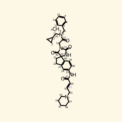 C[C@@H](C1CC1)N(Cc1ccccc1)C(=O)CN1C(=O)NC2(CCc3cc(NC(=O)/C=C/CN4CCCCC4)ccc32)C1=O